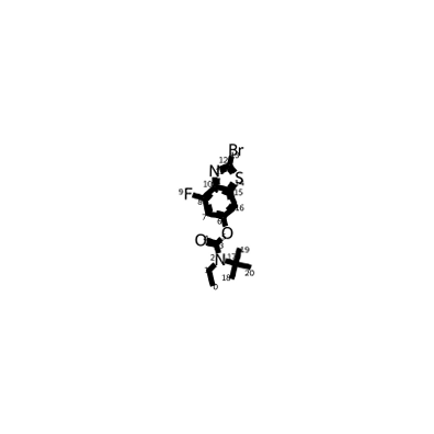 CCN(C(=O)Oc1cc(F)c2nc(Br)sc2c1)C(C)(C)C